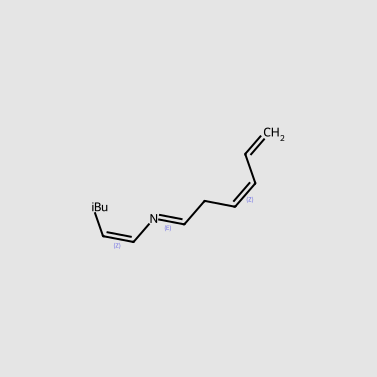 C=C/C=C\C/C=N/C=C\C(C)CC